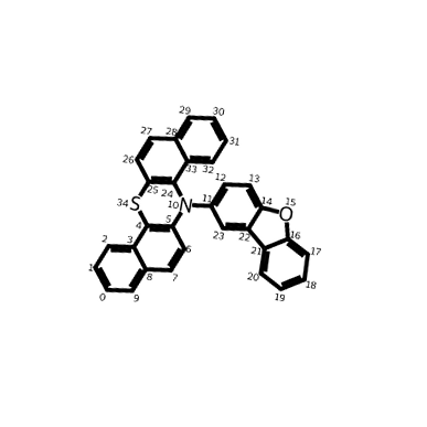 c1ccc2c3c(ccc2c1)N(c1ccc2oc4ccccc4c2c1)c1c(ccc2ccccc12)S3